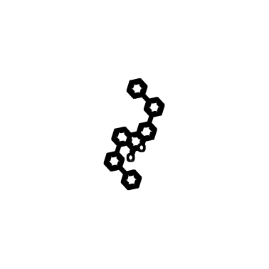 O=c1oc2ccc(-c3cccc(-c4ccccc4)c3)cc2c2cccc(-c3cccc(-c4ccccc4)c3)c12